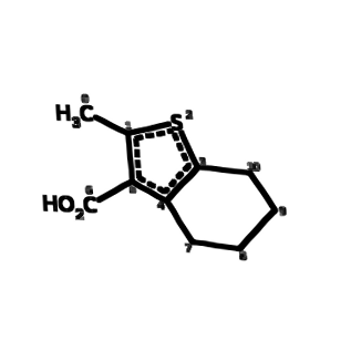 Cc1sc2c(c1C(=O)O)CCCC2